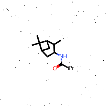 CC(C)C(=O)NC1CC2CC(C1C)C2(C)C